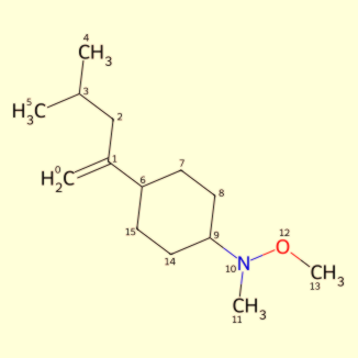 C=C(CC(C)C)C1CCC(N(C)OC)CC1